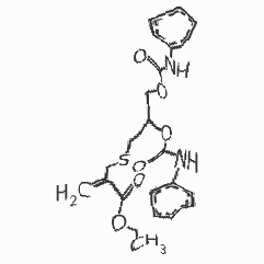 C=C(CSCC(COC(=O)Nc1ccccc1)OC(=O)Nc1ccccc1)C(=O)OCC